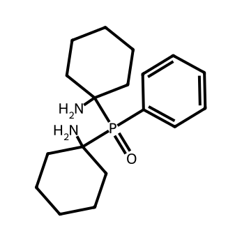 NC1(P(=O)(c2ccccc2)C2(N)CCCCC2)CCCCC1